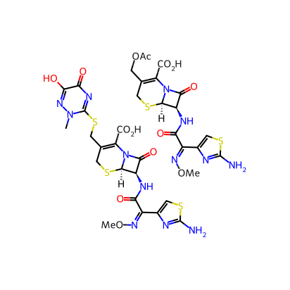 CO/N=C(/C(=O)N[C@@H]1C(=O)N2C(C(=O)O)=C(COC(C)=O)CS[C@H]12)c1csc(N)n1.CO/N=C(\C(=O)N[C@@H]1C(=O)N2C(C(=O)O)=C(CSc3nc(=O)c(O)nn3C)CS[C@H]12)c1csc(N)n1